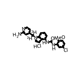 Cl.[2H]C([2H])(c1ccnc(N)c1)n1ccc2c(NC(=O)Nc3cc(Cl)ccc3OC)cccc21